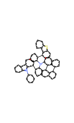 c1ccc(-c2cccc3cccc(-c4ccccc4N(c4ccccc4-c4cccc5sc6ccccc6c45)c4ccccc4-c4cccc5c6ccccc6n(-c6ccccc6)c45)c23)cc1